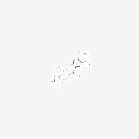 CCCC(CN(CC)CCC(C)C)C(=O)c1ccc(CI)c(CI)c1